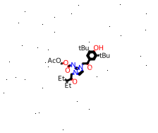 CCC(CC)C(=O)Cn1ccn(CC(=O)c2cc(C(C)(C)C)c(O)c(C(C)(C)C)c2)/c1=N/C(=O)OCOC(C)=O